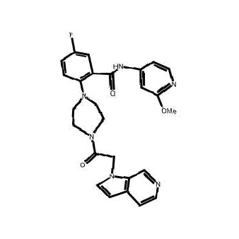 COc1cc(NC(=O)c2cc(F)ccc2N2CCN(C(=O)Cn3ccc4ccncc43)CC2)ccn1